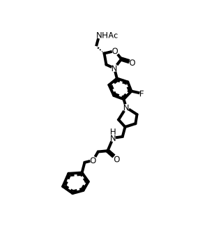 CC(=O)NC[C@H]1CN(c2ccc(N3CCC(CNC(=O)COCc4ccccc4)C3)c(F)c2)C(=O)O1